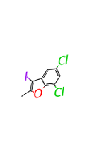 Cc1oc2c(Cl)cc(Cl)cc2c1I